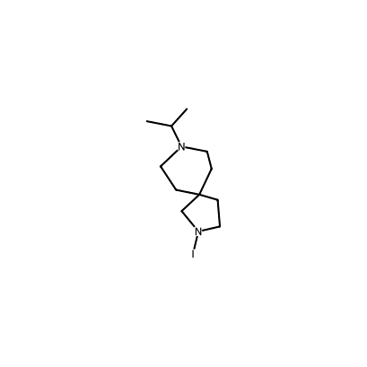 CC(C)N1CCC2(CCN(I)C2)CC1